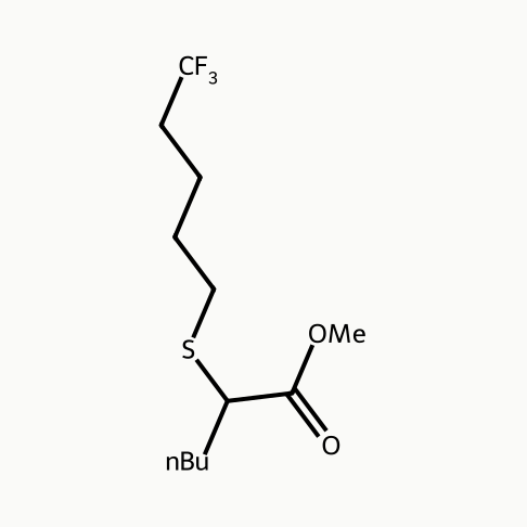 CCCCC(SCCCCC(F)(F)F)C(=O)OC